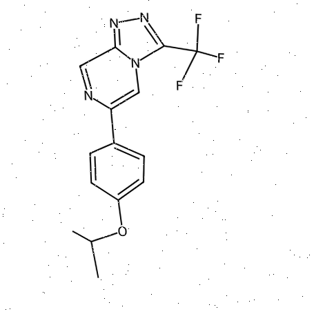 CC(C)Oc1ccc(-c2cn3c(C(F)(F)F)nnc3cn2)cc1